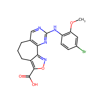 COc1cc(Br)ccc1Nc1ncc2c(n1)-c1noc(C(=O)O)c1CCC2